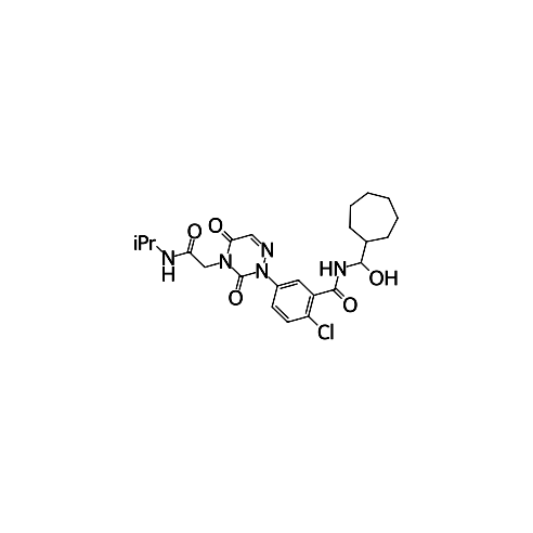 CC(C)NC(=O)Cn1c(=O)cnn(-c2ccc(Cl)c(C(=O)NC(O)C3CCCCCC3)c2)c1=O